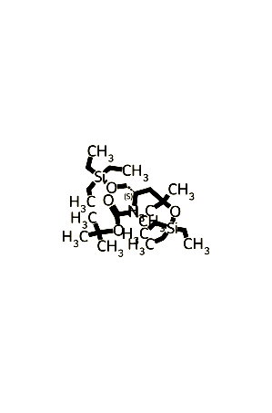 CC[Si](CC)(CC)OC[C@H](CC(C)(C)O[Si](CC)(CC)CC)N(C)C(=O)OC(C)(C)C